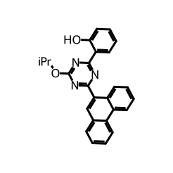 CC(C)Oc1nc(-c2ccccc2O)nc(-c2cc3ccccc3c3ccccc23)n1